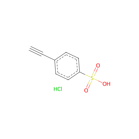 C#Cc1ccc(S(=O)(=O)O)cc1.Cl